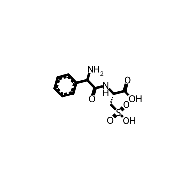 NC(C(=O)N[C@@H](CS(=O)(=O)O)C(=O)O)c1ccccc1